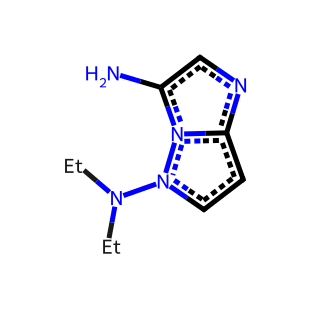 CCN(CC)n1ccc2ncc(N)n21